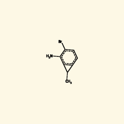 CC1c2ccc(Br)c(N)c21